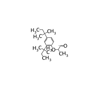 CCC(C)(C)c1ccc(OC(C)[C]=O)c(C(C)(C)CC)c1